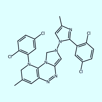 CC1=CC2=C(N3CN(n4cc(C)nc4-c4cc(Cl)ccc4Cl)C=C3N=N2)N(c2cc(Cl)ccc2Cl)C1